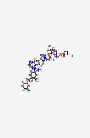 COCCNC[C@H](Cn1ncc2c1CCc1c-2sc2ncnc(Nc3ccc(OCc4cccc(F)c4)c(Cl)c3)c12)OC(=O)C(F)(F)F